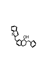 O[C@H]1c2cc(Cc3ccc4ccccc4n3)ccc2CC[C@@H]1Cc1ccccc1